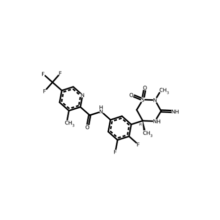 Cc1cc(C(F)(F)F)cnc1C(=O)Nc1cc(F)c(F)c([C@]2(C)CS(=O)(=O)N(C)C(=N)N2)c1